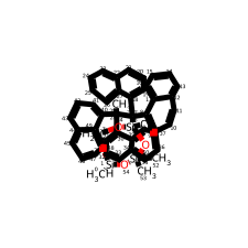 C[SiH]1O[SiH2]O[Si](C)(C(c2cccc3ccccc23)(c2cccc3ccccc23)C(C)(c2cccc3ccccc23)c2cccc3ccccc23)O[Si](C)(C)O1